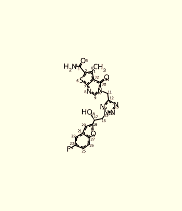 Cc1c(C(N)=O)sc2ncn(Cc3nnn(C[C@H](O)c4cc5cc(F)ccc5o4)n3)c(=O)c12